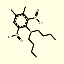 CCCCN(CCCC)c1c([N+](=O)[O-])cc(C)c(C)c1[N+](=O)[O-]